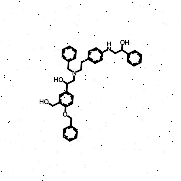 OCc1cc(C(O)CN(CCc2ccc(NCC(O)c3ccccc3)cc2)Cc2ccccc2)ccc1OCc1ccccc1